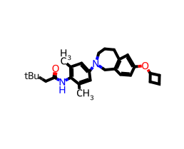 Cc1cc(N2CCCc3cc(OC4CCC4)ccc3C2)cc(C)c1NC(=O)CC(C)(C)C